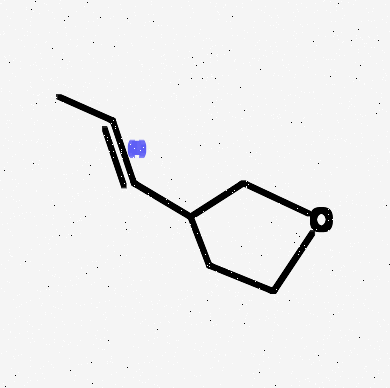 C/C=C/C1CCOC1